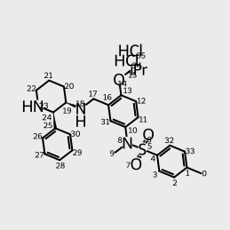 Cc1ccc(S(=O)(=O)N(C)c2ccc(OC(C)C)c(CN[C@@H]3CCCN[C@@H]3c3ccccc3)c2)cc1.Cl.Cl